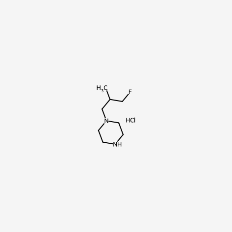 CC(CF)CN1CCNCC1.Cl